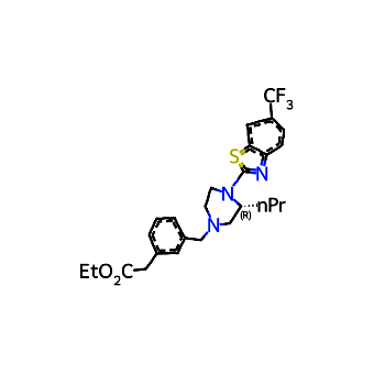 CCC[C@@H]1CN(Cc2cccc(CC(=O)OCC)c2)CCN1c1nc2ccc(C(F)(F)F)cc2s1